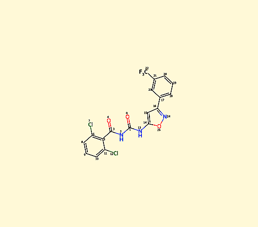 O=C(NC(=O)c1c(Cl)cccc1Cl)Nc1cc(-c2cccc(C(F)(F)F)c2)no1